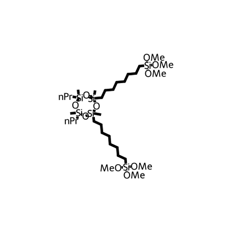 CCC[Si]1(C)O[Si](C)(CCC)O[Si](C)(CCCCCCCC[Si](OC)(OC)OC)O[Si](C)(CCCCCCCC[Si](OC)(OC)OC)O1